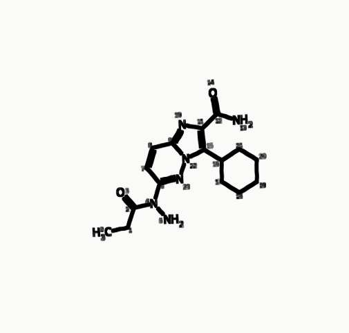 CCC(=O)N(N)c1ccc2nc(C(N)=O)c(C3CCCCC3)n2n1